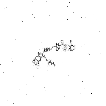 COCCn1c(CCNCCc2nc(C(=O)NCc3ncccc3F)co2)nc2cc3c(cc21)OCO3